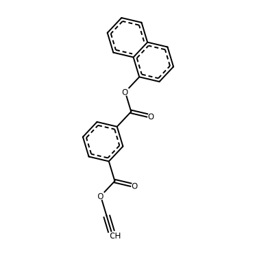 C#COC(=O)c1cccc(C(=O)Oc2cccc3ccccc23)c1